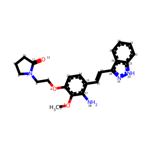 COc1c(OCCN2CCCC2=O)ccc(C=Cc2n[nH]c3ccccc23)c1N